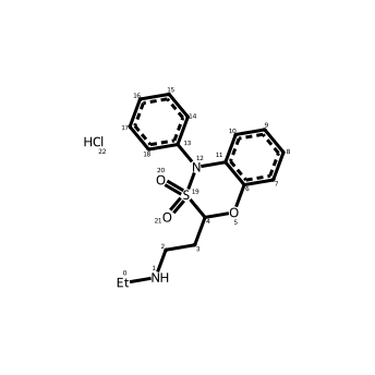 CCNCCC1Oc2ccccc2N(c2ccccc2)S1(=O)=O.Cl